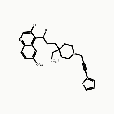 COc1ccc2ncc(Cl)c([C@@H](F)CCC3(CC(=O)O)CCN(CC#Cc4cccs4)CC3)c2c1